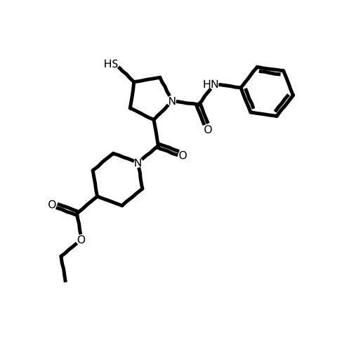 CCOC(=O)C1CCN(C(=O)C2CC(S)CN2C(=O)Nc2ccccc2)CC1